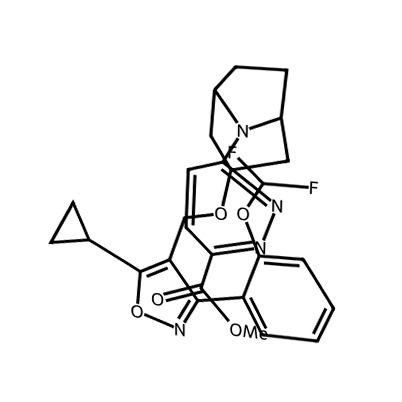 COC(=O)c1ccc(N2C3CCC2CC(OCc2c(-c4ccccc4OC(F)F)noc2C2CC2)C3)nn1